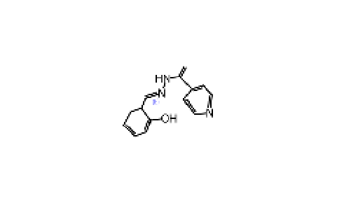 C=C(N/N=C/C1CC=CC=C1O)c1ccncc1